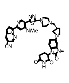 CNc1cc(-c2ccc3cc(C#N)cnn23)ncc1-c1nnc(N2CCN(C[C@H]3CCN(c4ccc5c(c4)n(C)c(=O)n5C4CCC(=O)NC4=O)C3)CC2)s1